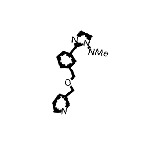 CNn1ccnc1-c1cccc(COCc2cccnc2)c1